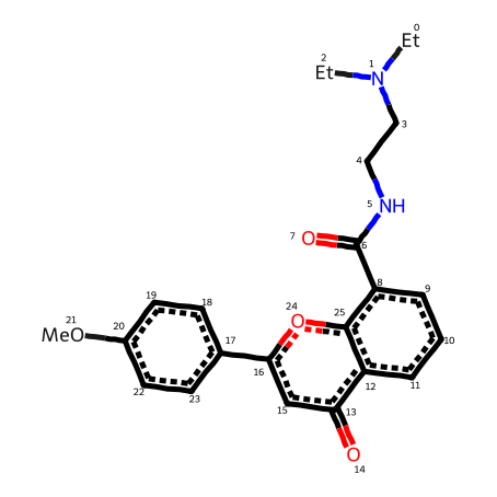 CCN(CC)CCNC(=O)c1cccc2c(=O)cc(-c3ccc(OC)cc3)oc12